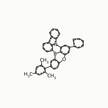 Cc1cc(C)c(-c2ccc3c(c2)B2c4c(cc(-c5ccccc5)cc4-n4c5ccccc5c5cccc2c54)O3)c(C)c1